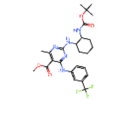 COC(=O)c1c(C)nc(NC2CCCCC2NC(=O)OC(C)(C)C)nc1Nc1cccc(C(F)(F)F)c1